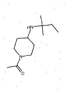 CCC(C)(C)NC1CCN(C(C)=O)CC1